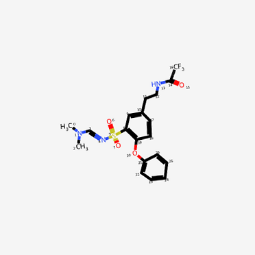 CN(C)/C=N/S(=O)(=O)c1cc(CCNC(=O)C(F)(F)F)ccc1Oc1ccccc1